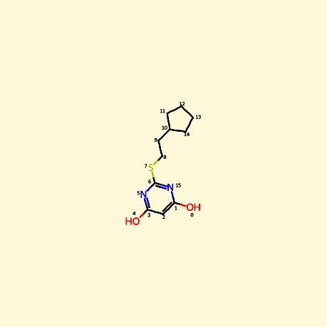 Oc1cc(O)nc(SCCC2CCCC2)n1